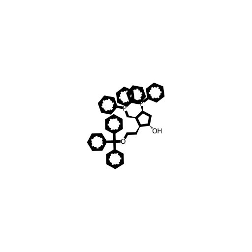 O[C@H]1C[C@H](P(c2ccccc2)c2ccccc2)[C@H](CP(c2ccccc2)c2ccccc2)[C@@H]1CCOC(c1ccccc1)(c1ccccc1)c1ccccc1